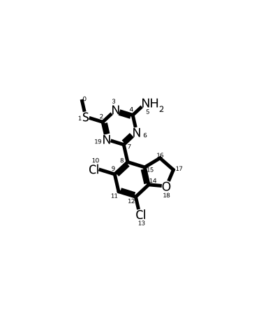 CSc1nc(N)nc(-c2c(Cl)cc(Cl)c3c2CCO3)n1